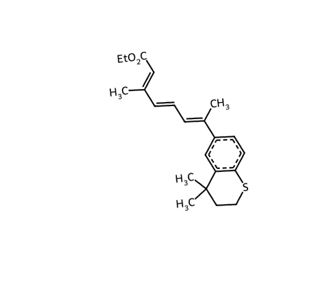 CCOC(=O)C=C(C)C=CC=C(C)c1ccc2c(c1)C(C)(C)CCS2